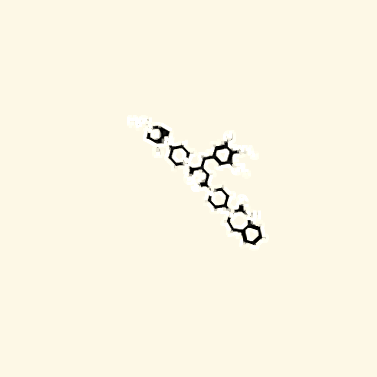 CN1C[C@@H]2CC1CN2C1CCN(C(=O)C(CC(=O)N2CCC(N3CCc4ccccc4NC3=O)CC2)Cc2cc(Cl)c(N)c(C(F)(F)F)c2)CC1